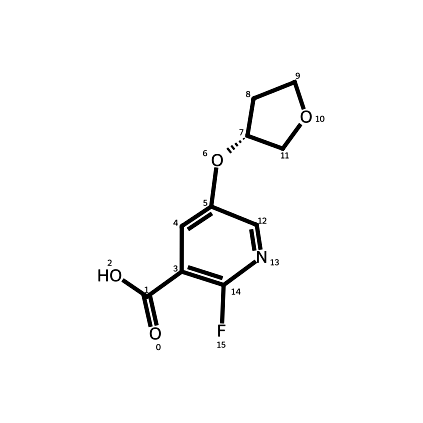 O=C(O)c1cc(O[C@@H]2CCOC2)cnc1F